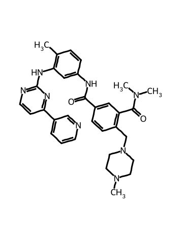 Cc1ccc(NC(=O)c2ccc(CN3CCN(C)CC3)c(C(=O)N(C)C)c2)cc1Nc1nccc(-c2cccnc2)n1